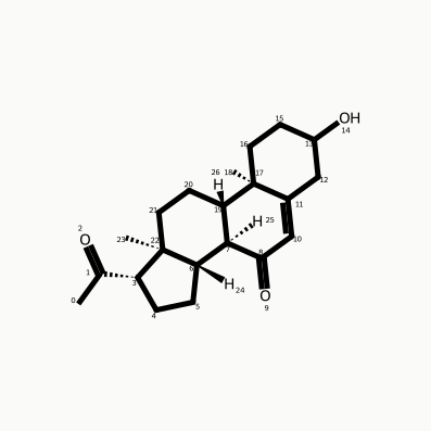 CC(=O)[C@H]1CC[C@H]2[C@@H]3C(=O)C=C4CC(O)CC[C@]4(C)[C@H]3CC[C@]12C